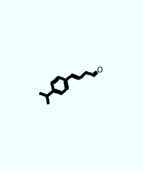 CC(C)c1ccc(C=CC[C]=O)cc1